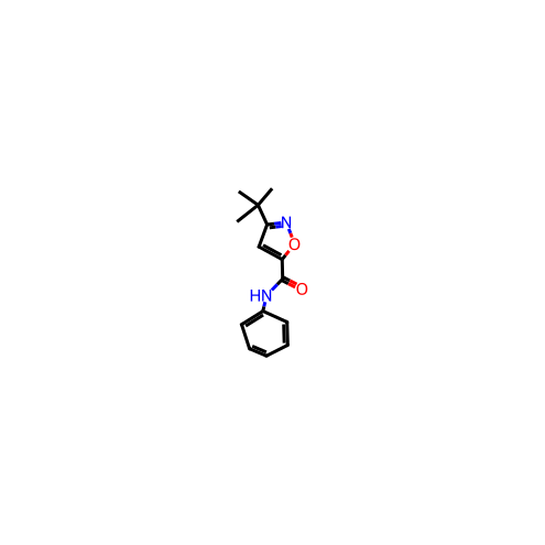 CC(C)(C)c1cc(C(=O)Nc2ccccc2)on1